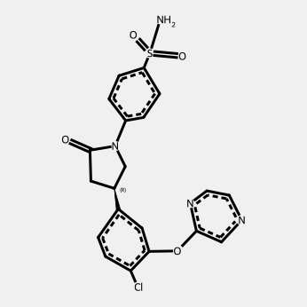 NS(=O)(=O)c1ccc(N2C[C@@H](c3ccc(Cl)c(Oc4cnccn4)c3)CC2=O)cc1